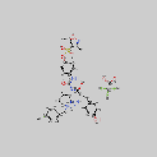 Cc1noc(C)c1S(=O)(=O)Oc1ccc(NC(=O)N(C(=O)[C@@H](N)Cc2ccc(O)cc2)[C@H]2CCC[N+](C)(Cc3ccc(F)cc3)C2)cc1.O=C([O-])C(F)(F)F